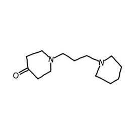 O=C1CCN(CCCN2CCCCC2)CC1